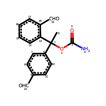 CC(OC(N)=O)(c1ccc(C=O)cc1)c1ccccc1C=O